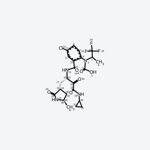 CC(N(C(=O)O)c1ccc(Cl)cc1C(=O)N[C@@H](C[C@@H]1C[C@@H](C)NC1=O)C(=O)C(=O)NC1CC1)C(F)(F)F